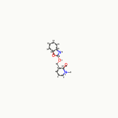 Cn1cccc(COc2nc3ccccc3o2)c1=O